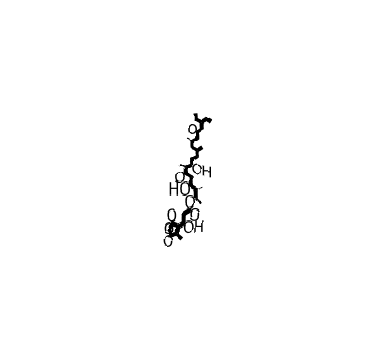 C=C/C(=C/C(=O)C[C@H](C)CC(C)CCC(O)[C@H](C)C(=O)C[C@@H](O)[C@H](C)[C@@H](C)OC(=O)C[C@@H](O)C1=C(C)C(=O)OC1=O)CC